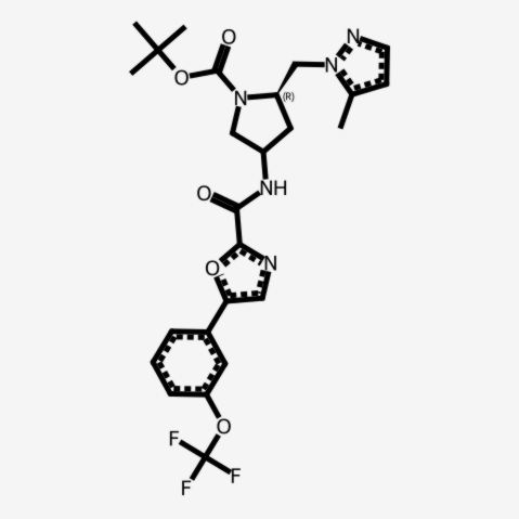 Cc1ccnn1C[C@H]1CC(NC(=O)c2ncc(-c3cccc(OC(F)(F)F)c3)o2)CN1C(=O)OC(C)(C)C